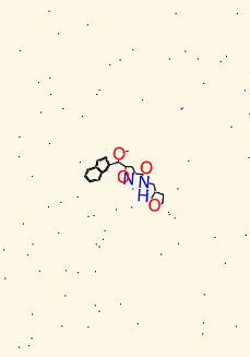 COC(c1ccc2ccccc2c1)C1CC(C(=O)NCC2CCOC2)=NO1